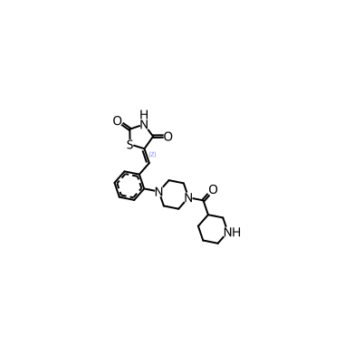 O=C1NC(=O)/C(=C/c2ccccc2N2CCN(C(=O)C3CCCNC3)CC2)S1